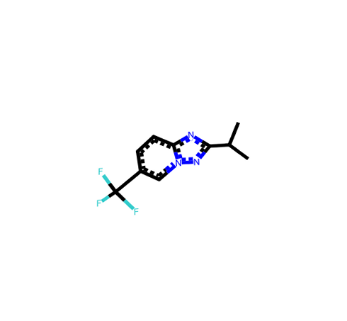 CC(C)c1nc2ccc(C(F)(F)F)cn2n1